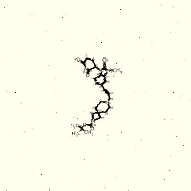 Cn1c(=O)n(C2CCC(=O)NC2=O)c2ccc(C#CCN3CCC4(CC3)CN(C(=O)OC(C)(C)C)C4)cc21